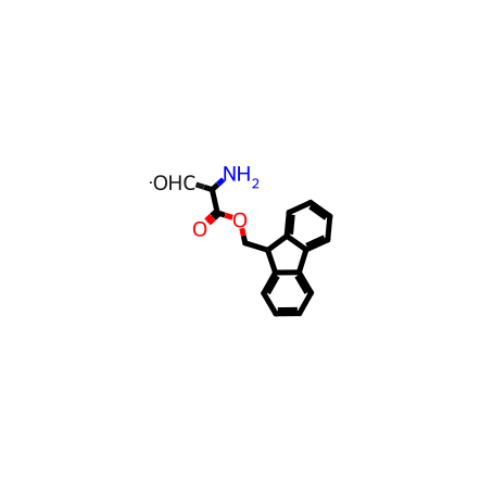 NC([C]=O)C(=O)OCC1c2ccccc2-c2ccccc21